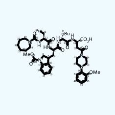 CCCC[C@@H](NC(=O)[C@@H](CC1CN(C(=O)OC)c2ccccc21)NC(=O)[C@H](CC(C)C)NC(=O)N1CCCCCC1)C(=O)N[C@H](CC(=O)N1CCN(c2ccccc2OC)CC1)C(=O)O